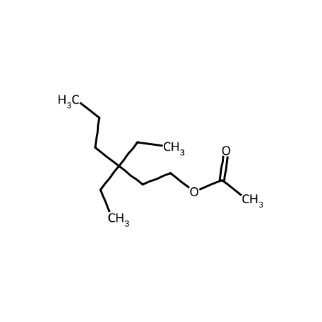 CCCC(CC)(CC)CCOC(C)=O